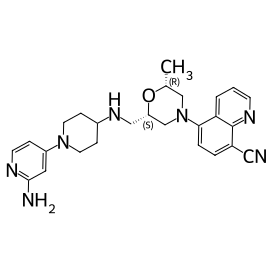 C[C@@H]1CN(c2ccc(C#N)c3ncccc23)C[C@H](CNC2CCN(c3ccnc(N)c3)CC2)O1